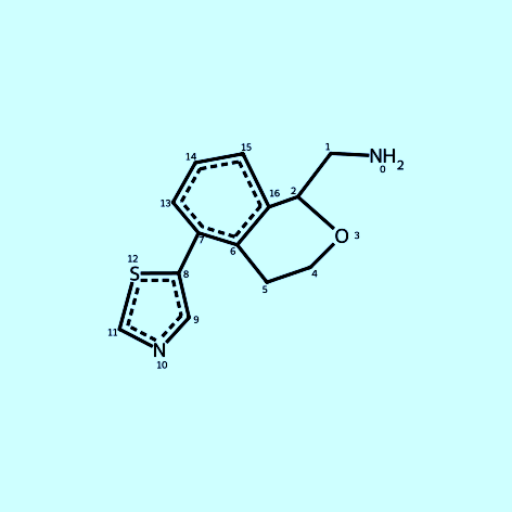 NCC1OCCc2c(-c3cncs3)cccc21